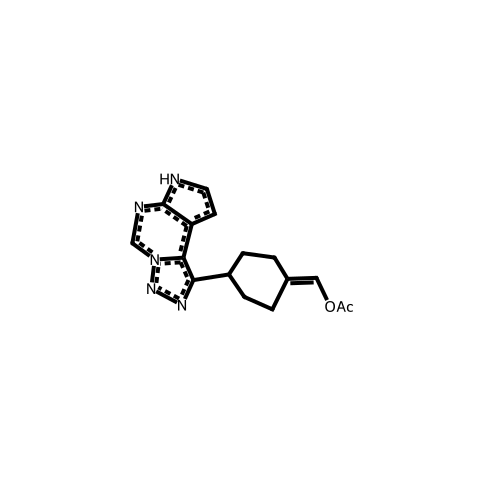 CC(=O)OC=C1CCC(c2nnn3cnc4[nH]ccc4c23)CC1